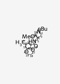 CCCCN1CC[C@@H](CNC(=O)c2cc(C)cc3c2OCCCO3)[C@H](OC)C1